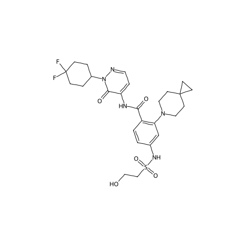 O=C(Nc1ccnn(C2CCC(F)(F)CC2)c1=O)c1ccc(NS(=O)(=O)CCO)cc1N1CCC2(CC1)CC2